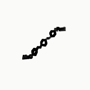 CCCCC[C@H]1CC[C@H](CC[C@H]2CC[C@H](CCc3ccc(OC)cc3)CC2)CC1